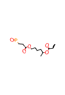 C=CC(=O)OC(C)CCCCOC(=O)CCP=O